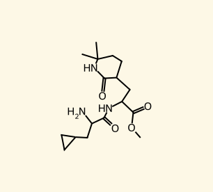 COC(=O)C(CC1CCC(C)(C)NC1=O)NC(=O)C(N)CC1CC1